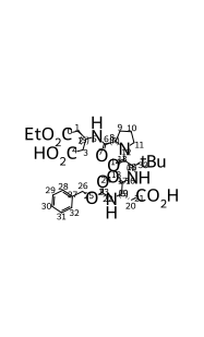 CCOC(=O)C[C@H](CC(=O)O)NC(=O)[C@H]1CCCN1C(=O)[C@H](NC(=O)[C@H](CC(=O)O)NC(=O)OCc1ccccc1)C(C)(C)C